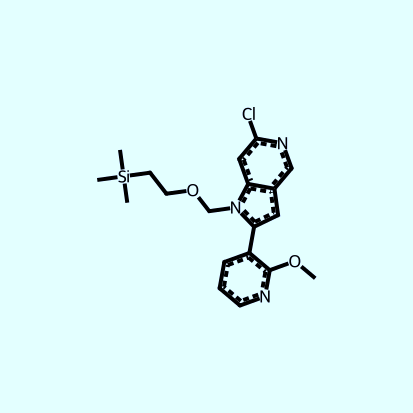 COc1ncccc1-c1cc2cnc(Cl)cc2n1COCC[Si](C)(C)C